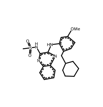 COc1ccc(CC2CCCCC2)c(Nc2nc3ccccc3nc2NS(C)(=O)=O)c1